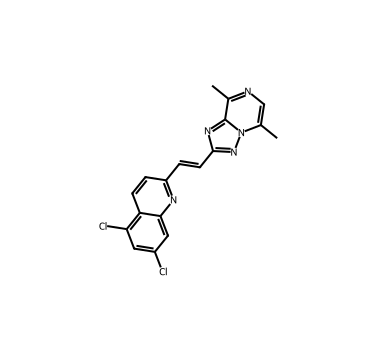 Cc1ncc(C)n2nc(C=Cc3ccc4c(Cl)cc(Cl)cc4n3)nc12